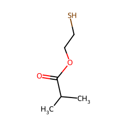 CC(C)C(=O)OCCS